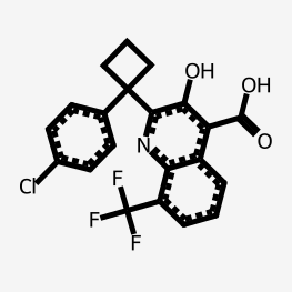 O=C(O)c1c(O)c(C2(c3ccc(Cl)cc3)CCC2)nc2c(C(F)(F)F)cccc12